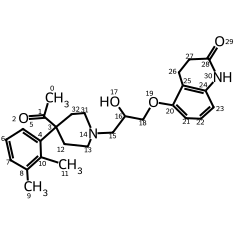 CC(=O)C1(c2cccc(C)c2C)CCN(CC(O)COc2cccc3c2CCC(=O)N3)CC1